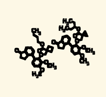 CCC(CC)OC(=O)C1(COc2c(-c3cccc4c3CCC4=O)ccc(OC)c2OC)CC1.CCCCOC(=O)C1(COc2c(-c3cccc4c3CCC4=O)ccc(OC)c2OC)CCC1